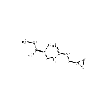 C=C(/N=C\C(Br)=C(/C)OC)OCC1CC1